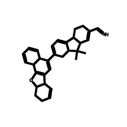 CC1(C)C2CC(C3=CC4=C(OC5CCC=CC45)C4C=CC=CC34)=CC=C2C2CCC(C=N)=CC21